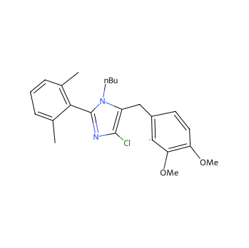 CCCCn1c(-c2c(C)cccc2C)nc(Cl)c1Cc1[c]c(OC)c(OC)cc1